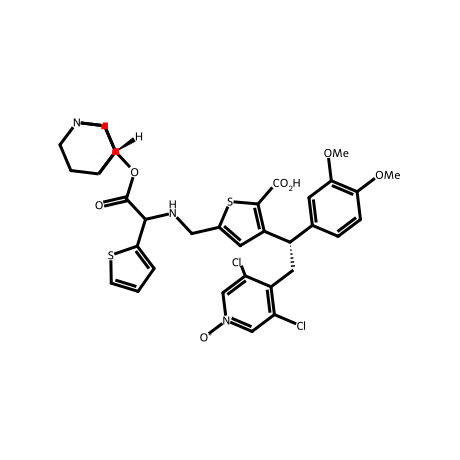 COc1ccc([C@H](Cc2c(Cl)c[n+]([O-])cc2Cl)c2cc(CNC(C(=O)O[C@H]3CN4CCC3CC4)c3cccs3)sc2C(=O)O)cc1OC